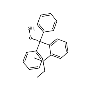 CCC(C)c1ccccc1C(O[SiH3])(c1ccccc1)c1ccccc1